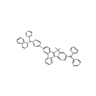 CC1(C)c2cc(N(c3ccccc3)c3ccccc3)ccc2-c2c1c1ccc(-c3ccc(N(c4ccccc4)c4cccc5ccccc45)cc3)cc1c1ccccc21